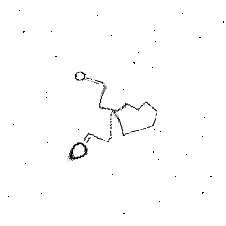 O=CCC1(CC=O)CCCCC1